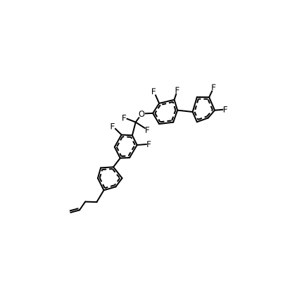 C=CCCc1ccc(-c2cc(F)c(C(F)(F)Oc3ccc(-c4ccc(F)c(F)c4)c(F)c3F)c(F)c2)cc1